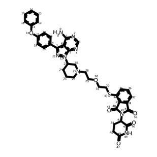 Nc1ncnc2c1c(-c1ccc(Oc3ccccc3)cc1)nn2C1CCCN(CCOCCSc2cccc3c2C(=O)N(C2CCC(=O)NC2=O)C3=O)C1